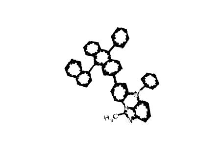 Cc1nc2cccc3c2n1-c1ccc(-c2ccc4c(-c5ccccc5)c5ccccc5c(-c5cccc6ccccc56)c4c2)cc1N3c1ccccc1